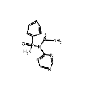 NC(=S)N(c1ncncn1)P(N)(=O)c1ccccc1